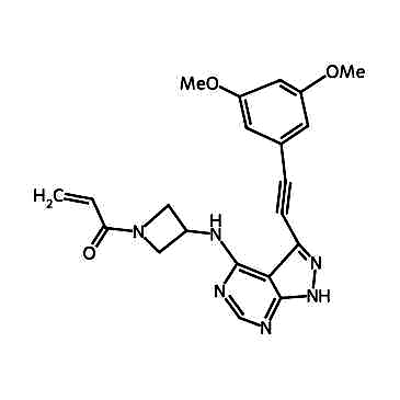 C=CC(=O)N1CC(Nc2ncnc3[nH]nc(C#Cc4cc(OC)cc(OC)c4)c23)C1